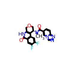 CN(C(=O)c1ccc2nncn2c1)[C@H]1COCc2[nH]c(=O)c3cc(F)c(F)cc3c21